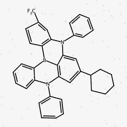 FC(F)(F)c1ccc2c(c1)N(c1ccccc1)c1cc(C3CCCCC3)cc3c1B2c1ccccc1N3c1ccccc1